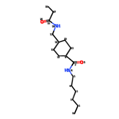 CCCCCCNC(=O)C1CCC(CNC(=O)CC)CC1